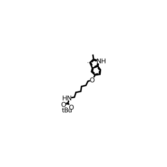 Cc1[c]c2cc(OCCCCCCNC(=O)OC(C)(C)C)ccc2[nH]1